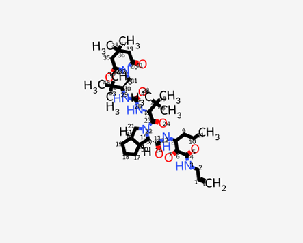 C=CCNC(=O)C(=O)C(CCC)NC(=O)[C@@H]1[C@H]2CCC[C@H]2CN1C(=O)[C@@H](NC(=O)N[C@H](CN1C(=O)CC(C)(C)CC1=O)C(C)(C)C)C(C)(C)C